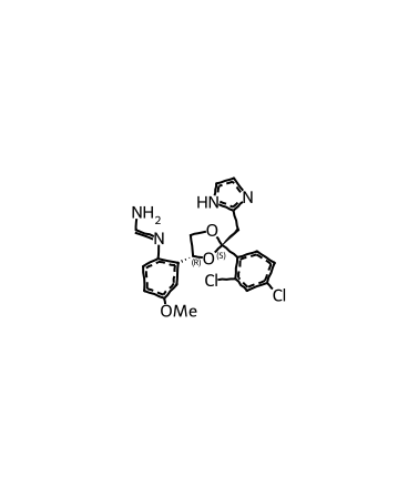 COc1ccc(N=CN)c([C@@H]2CO[C@](Cc3ncc[nH]3)(c3ccc(Cl)cc3Cl)O2)c1